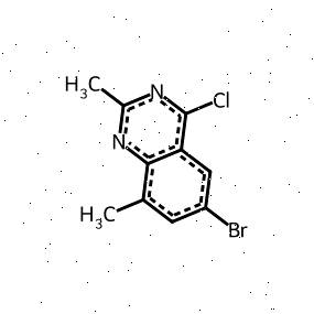 Cc1nc(Cl)c2cc(Br)cc(C)c2n1